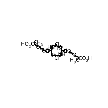 CC(CCOCCCOc1ccc(-c2c3nc(c(Cl)c4ccc([nH]4)c(-c4ccc(OCCCOCCC(C)C(=O)O)cc4)c4nc(c(Cl)c5ccc2[nH]5)C=C4)C=C3)cc1)C(=O)O